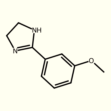 COc1cccc(C2=NCCN2)c1